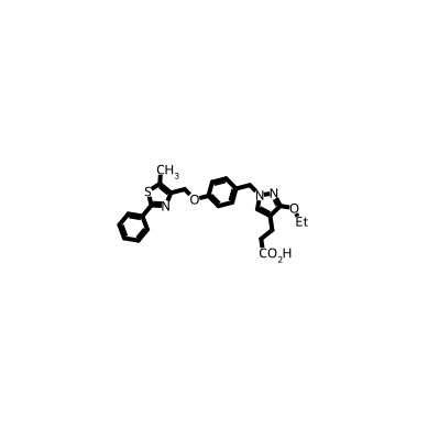 CCOc1nn(Cc2ccc(OCc3nc(-c4ccccc4)sc3C)cc2)cc1CCC(=O)O